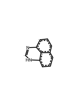 [C]1=Nc2[c]ccc3cccc(c23)N1